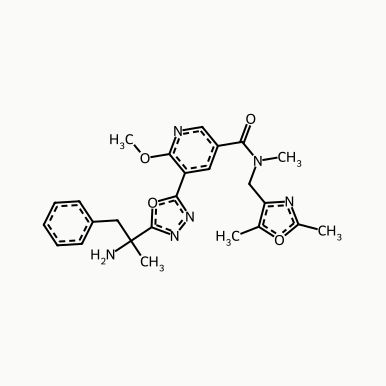 COc1ncc(C(=O)N(C)Cc2nc(C)oc2C)cc1-c1nnc(C(C)(N)Cc2ccccc2)o1